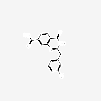 O=C(O)c1ccc2c(=O)[nH]c(Cc3cccc(Cl)c3)nc2c1